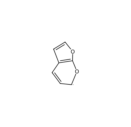 [CH]1C=Cc2ccoc2O1